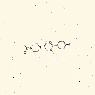 CN(CC(=O)N1CCN([S+](C)[O-])CC1)C(=O)c1ccc(F)cc1